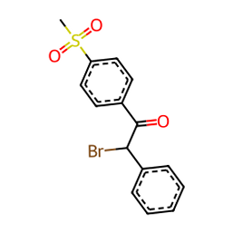 CS(=O)(=O)c1ccc(C(=O)C(Br)c2ccccc2)cc1